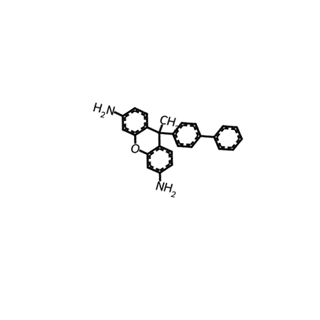 CC1(c2ccc(-c3ccccc3)cc2)c2ccc(N)cc2Oc2cc(N)ccc21